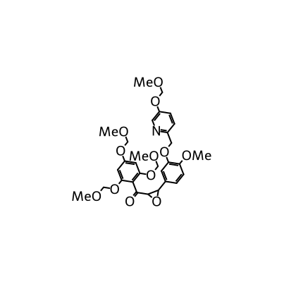 COCOc1ccc(COc2cc(C3OC3C(=O)c3c(OCOC)cc(OCOC)cc3OCOC)ccc2OC)nc1